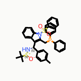 Cc1ccc([C@H](N[S@+]([O-])C(C)(C)C)c2c(CP(c3ccccc3)c3ccccc3)n(S(=O)(=O)c3ccccc3)c3ccccc23)cc1